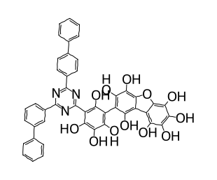 Oc1c(O)c(-c2nc(-c3ccc(-c4ccccc4)cc3)nc(-c3cccc(-c4ccccc4)c3)n2)c(O)c(-c2c(O)c(O)c3oc4c(O)c(O)c(O)c(O)c4c3c2O)c1O